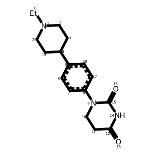 CCN1CCC(c2ccc(N3CCC(=O)NC3=O)cc2)CC1